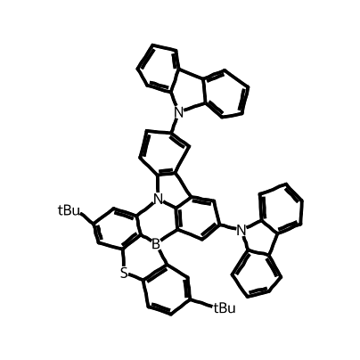 CC(C)(C)c1ccc2c(c1)B1c3c(cc(C(C)(C)C)cc3-n3c4ccc(-n5c6ccccc6c6ccccc65)cc4c4cc(-n5c6ccccc6c6ccccc65)cc1c43)S2